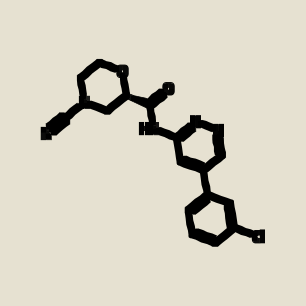 N#CN1CCO[C@@H](C(=O)Nc2cc(-c3cccc(Cl)c3)cnn2)C1